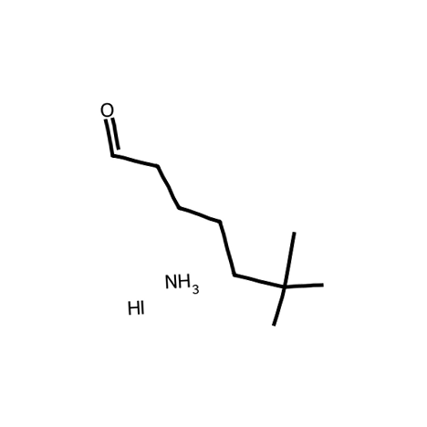 CC(C)(C)CCCCC=O.I.N